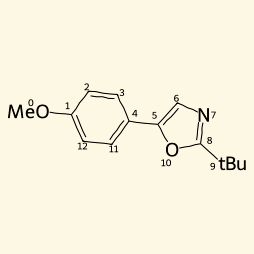 COc1ccc(-c2cnc(C(C)(C)C)o2)cc1